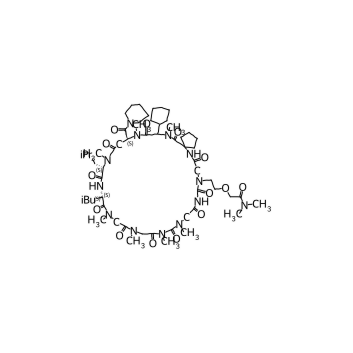 CC[C@H](C)[C@@H]1NC(=O)[C@H](CC(C)C)N(C)C(=O)C[C@@H](C(=O)N2CCCCC2)N(C)C(=O)C(C2CCCCC2)N(C)C(=O)C2(CCCC2)NC(=O)CN(CCOCC(=O)N(C)C)C(=O)NC(=O)CN(C)C(=O)N(C)C(=O)CN(C)C(=O)CN(C)C1=O